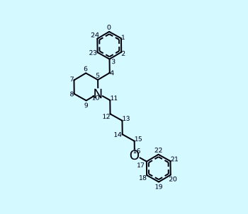 c1ccc(CC2CCCCN2CCCCCOc2ccccc2)cc1